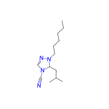 CCCCCCN1N=CN(C#N)C1CC(C)C